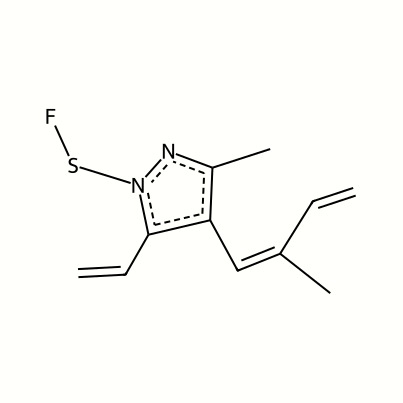 C=C/C(C)=C\c1c(C)nn(SF)c1C=C